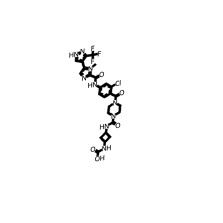 Cn1c(-c2c[nH]nc2C(F)(F)F)cnc1C(=O)Nc1ccc(C(=O)N2CCN(C(=O)NC3CC(NC(=O)O)C3)CC2)c(Cl)c1